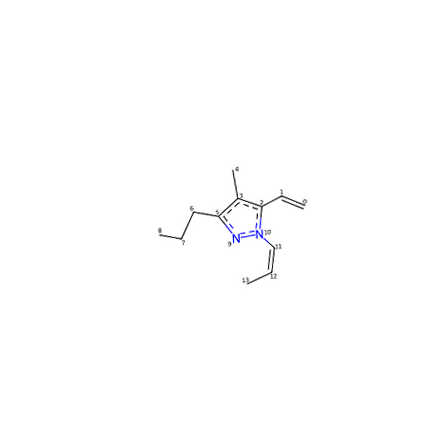 C=Cc1c(C)c(CCC)nn1/C=C\C